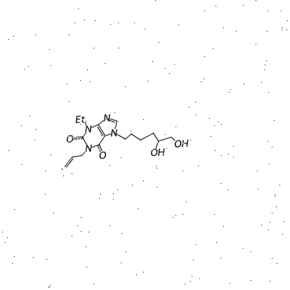 C=CCn1c(=O)c2c(ncn2CCCCC(O)CO)n(CC)c1=O